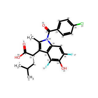 Cc1c([C@H](CC(C)C)C(=O)O)c2c(F)c(O)c(F)cc2n1C(=O)c1ccc(Cl)cc1